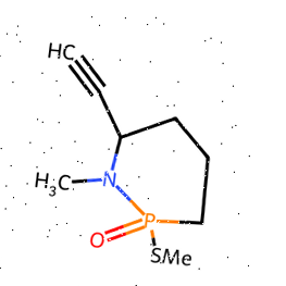 C#CC1CCCP(=O)(SC)N1C